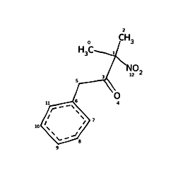 CC(C)(C(=O)Cc1ccccc1)[N+](=O)[O-]